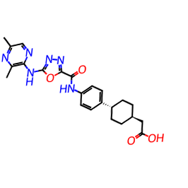 Cc1cnc(Nc2nnc(C(=O)Nc3ccc([C@H]4CC[C@H](CC(=O)O)CC4)cc3)o2)c(C)n1